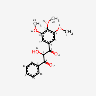 COc1cc(C(=O)C(O)C(=O)c2ccccc2)cc(OC)c1OC